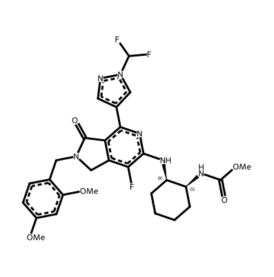 COC(=O)N[C@H]1CCCC[C@H]1Nc1nc(-c2cnn(C(F)F)c2)c2c(c1F)CN(Cc1ccc(OC)cc1OC)C2=O